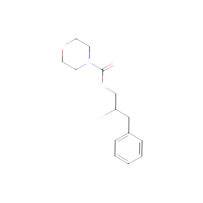 NC(COC(=O)N1CCOCC1)Cc1ccccc1